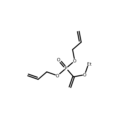 C=CCOP(=O)(OCC=C)C(=C)OCC